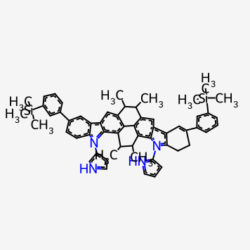 CC1c2cc3c4c(n(-c5ccc[nH]5)c3c3c2-c2c(cc5c6cc(-c7cccc([Si](C)(C)C)c7)ccc6n(-c6cc[nH]c6)c5c2C(C)C3C)C1C)CCC(c1cccc([Si](C)(C)C)c1)=C4